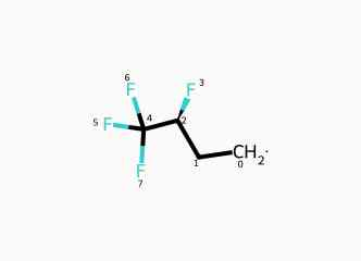 [CH2]C[C@H](F)C(F)(F)F